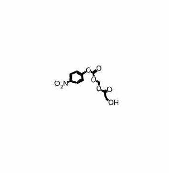 O=C(CO)OCOC(=O)Oc1ccc([N+](=O)[O-])cc1